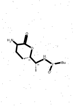 C[C@@H](N[S+]([O-])C(C)(C)C)[C@@H]1CCC(N)C(=O)O1